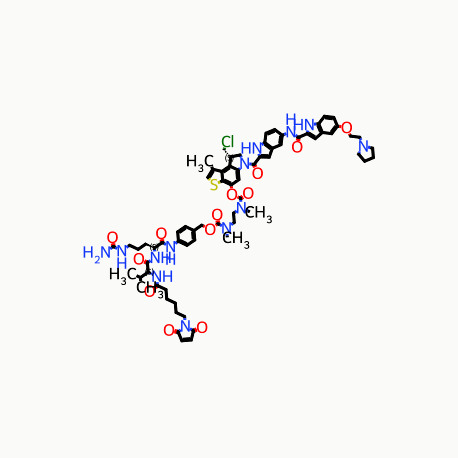 Cc1csc2c(OC(=O)N(C)CCN(C)C(=O)OCc3ccc(NC(=O)[C@H](CCCNC(N)=O)NC(=O)[C@@H](NC(=O)CCCCCN4C(=O)C=CC4=O)C(C)C)cc3)cc3c(c12)[C@H](CCl)CN3C(=O)c1cc2cc(NC(=O)c3cc4cc(OCCN5CCCC5)ccc4[nH]3)ccc2[nH]1